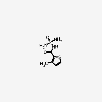 Cc1ccsc1C(=O)NP(N)(N)=O